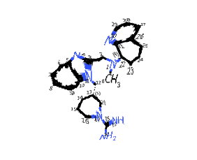 CN(Cc1nc2ccccc2n1C[C@H]1CCCN(C(=N)N)C1)[C@@H]1CCCc2cccnc21